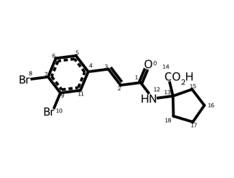 O=C(C=Cc1ccc(Br)c(Br)c1)NC1(C(=O)O)CCCC1